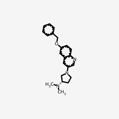 CN(C)[C@H]1CCN(c2cnc3ccc(OCc4ccccc4)cc3c2)C1